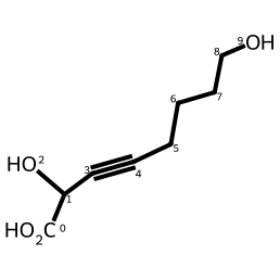 O=C(O)C(O)C#CCCCCO